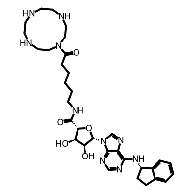 O=C(NCCCCCC(=O)N1CCNCCNCCNCC1)[C@@H]1O[C@H](n2cnc3c(N[C@H]4CCc5ccccc54)ncnc32)[C@@H](O)[C@H]1O